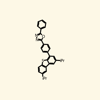 CC(C)c1ccc2sc3c(-c4ccc(-c5nnc(-c6ccccc6)o5)cc4)cc(C(C)C)cc3c2c1